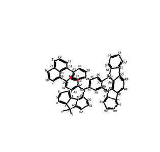 CC1(C)c2ccccc2-c2c(N(c3ccc(-c4cccc5cccc(-c6ccccc6)c45)cc3)c3ccc4c(c3)n3c5ccccc5c5ccc6c7ccccc7n4c6c53)cccc21